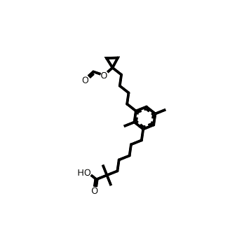 Cc1cc(CCCCCC(C)(C)C(=O)O)c(C)c(CCCCC2(OC=O)CC2)c1